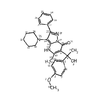 COc1ccc(C(C)(O)c2c(C)[nH]c3c(N4CCCCC4)c(-c4ccccc4)nn3c2=O)cc1